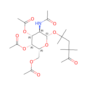 CC(=O)N[C@H]1[C@H](OC(C)(C)CC(C)(C)C(C)=O)O[C@H](COC(C)=O)[C@H](OC(C)=O)[C@@H]1OC(C)=O